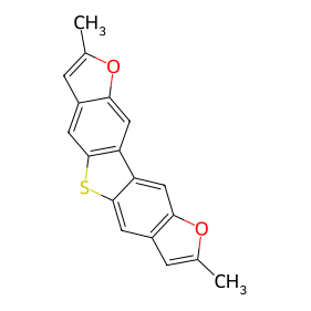 Cc1cc2cc3sc4cc5cc(C)oc5cc4c3cc2o1